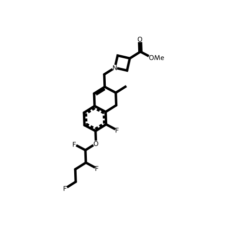 COC(=O)C1CN(CC2=Cc3ccc(OC(F)C(F)CCF)c(F)c3CC2C)C1